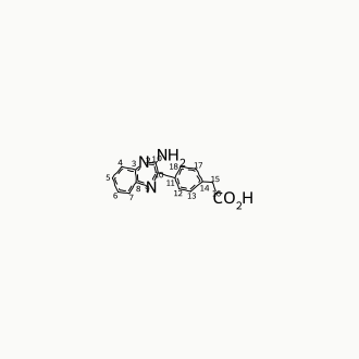 Nc1nc2ccccc2nc1-c1ccc(CC(=O)O)cc1